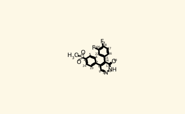 CS(=O)(=O)c1ccc(-c2cn[nH]c(=O)c2-c2ccc(F)c(F)c2)cc1